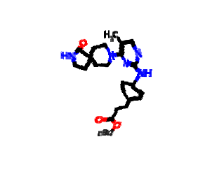 CCCCOC(=O)CCc1ccc(Nc2ncc(C)c(N3CCC4(CCNC4=O)CC3)n2)cc1